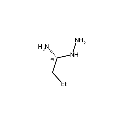 CCC[C@H](N)NN